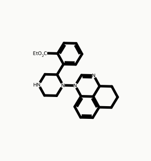 CCOC(=O)c1ccccc1C1CNCCN1N1C=NC2CCCc3cccc1c32